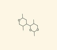 CC1CC(C2OC(C)OCC2C)C(C)CO1